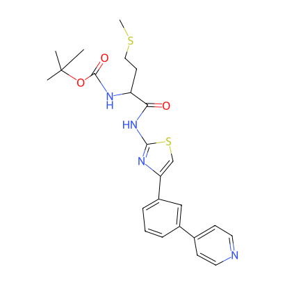 CSCCC(NC(=O)OC(C)(C)C)C(=O)Nc1nc(-c2cccc(-c3ccncc3)c2)cs1